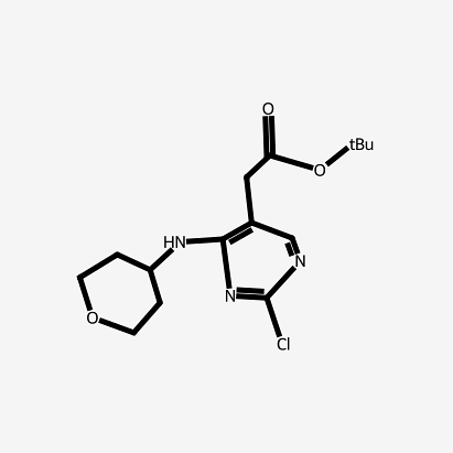 CC(C)(C)OC(=O)Cc1cnc(Cl)nc1NC1CCOCC1